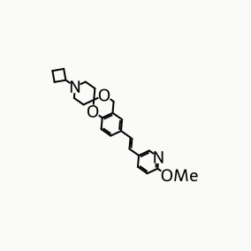 COc1ccc(/C=C/c2ccc3c(c2)COC2(CCN(C4CCC4)CC2)O3)cn1